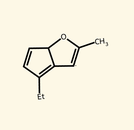 CCC1=C2[C]=C(C)OC2C=C1